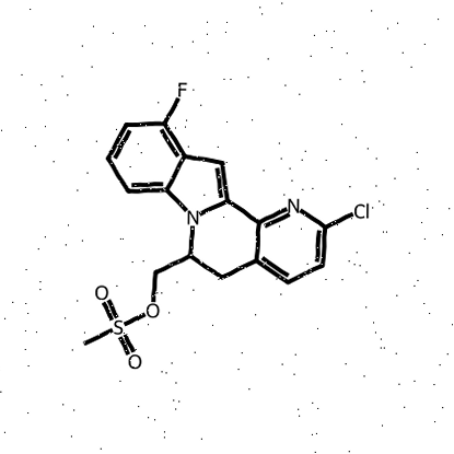 CS(=O)(=O)OCC1Cc2ccc(Cl)nc2-c2cc3c(F)cccc3n21